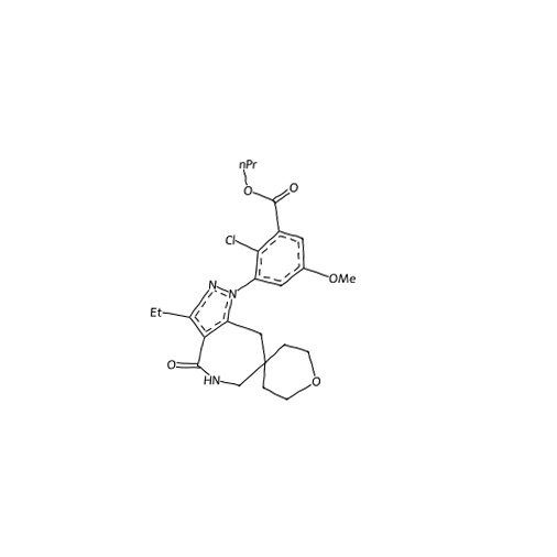 CCCOC(=O)c1cc(OC)cc(-n2nc(CC)c3c2CC2(CCOCC2)CNC3=O)c1Cl